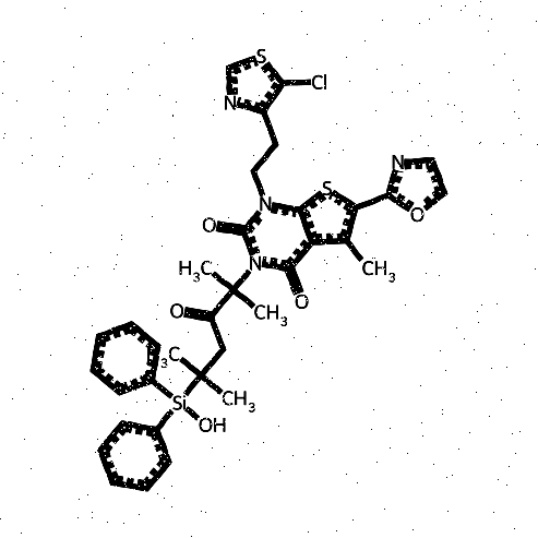 Cc1c(-c2ncco2)sc2c1c(=O)n(C(C)(C)C(=O)CC(C)(C)[Si](O)(c1ccccc1)c1ccccc1)c(=O)n2CCc1ncsc1Cl